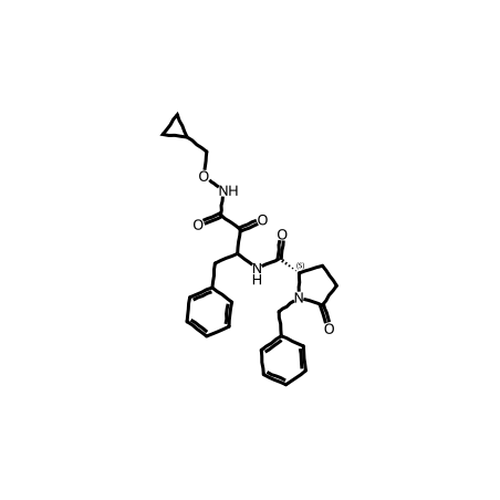 O=C(NOCC1CC1)C(=O)C(Cc1ccccc1)NC(=O)[C@@H]1CCC(=O)N1Cc1ccccc1